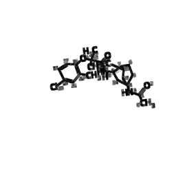 CC(=O)N[C@@]12CC=C(C(NC(=O)C(C)(C)Oc3ccc(Cl)cc3C)C1)[C@H](C)C2